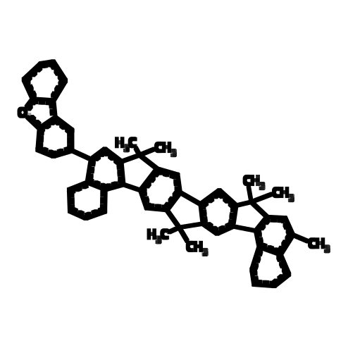 Cc1cc2c(c3ccccc13)-c1cc3c(cc1C2(C)C)-c1cc2c(cc1C3(C)C)-c1c(cc(-c3ccc4oc5ccccc5c4c3)c3ccccc13)C2(C)C